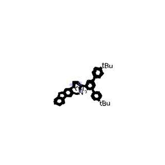 C\C1=C/C=C(c2cc(-c3ccc(C(C)(C)C)cc3)cc(-c3ccc(C(C)(C)C)cc3)c2)\C=N\Cc2cc3c(cc21)Cc1ccccc1-3